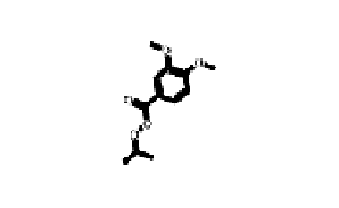 COc1ccc(C(=O)OO[C](C)C)cc1OC